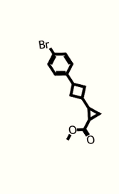 COC(=O)C1CC1C1CC(c2ccc(Br)cc2)C1